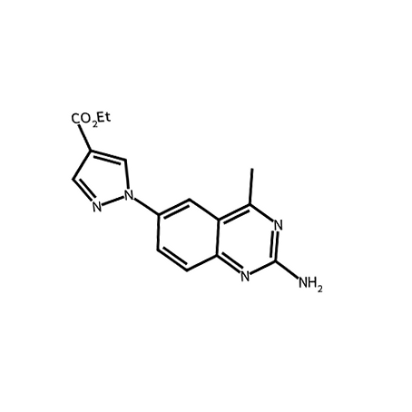 CCOC(=O)c1cnn(-c2ccc3nc(N)nc(C)c3c2)c1